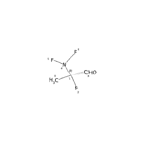 C[C@@](F)([C]=O)N(F)F